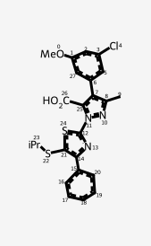 COc1cc(Cl)cc(-c2c(C)nn(-c3nc(-c4ccccc4)c(SC(C)C)s3)c2C(=O)O)c1